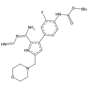 CC(C)(C)OC(=O)Nc1ccc(-c2cc(CN3CCOCC3)[nH]c2/C(N)=N\C=N)cc1F